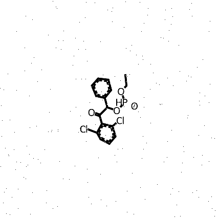 CCO[PH](=O)OC(C(=O)c1c(Cl)cccc1Cl)c1ccccc1